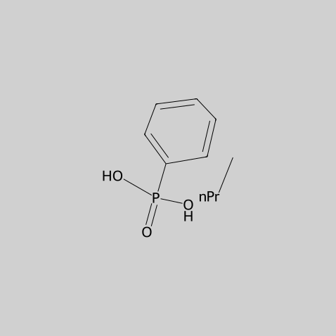 CCCC.O=P(O)(O)c1ccccc1